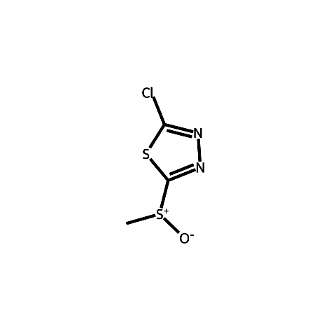 C[S+]([O-])c1nnc(Cl)s1